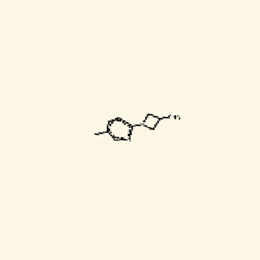 O=CC1CN(c2ccc(I)cn2)C1